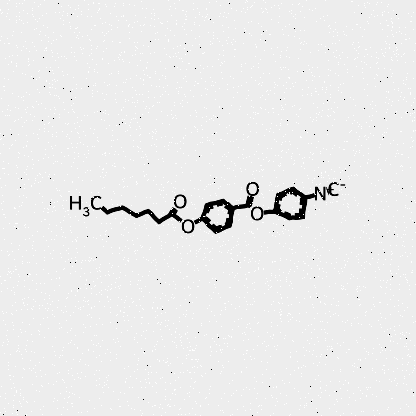 [C-]#[N+]c1ccc(OC(=O)c2ccc(OC(=O)CCCCCC)cc2)cc1